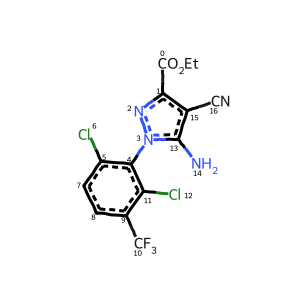 CCOC(=O)c1nn(-c2c(Cl)ccc(C(F)(F)F)c2Cl)c(N)c1C#N